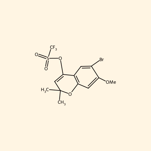 COc1cc2c(cc1Br)C(OS(=O)(=O)C(F)(F)F)=CC(C)(C)O2